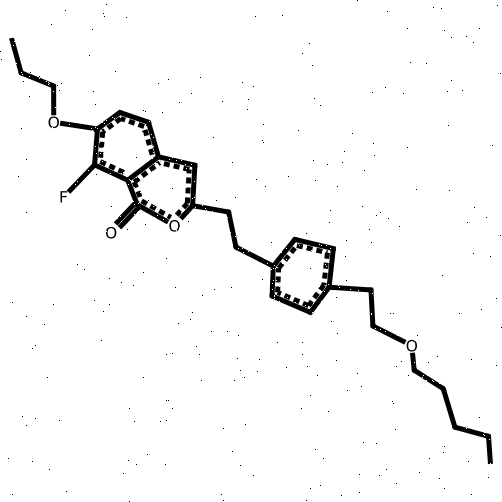 CCCCCOCCc1ccc(CCc2cc3ccc(OCCC)c(F)c3c(=O)o2)cc1